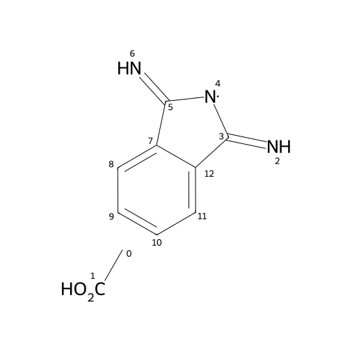 CC(=O)O.N=C1[N]C(=N)c2ccccc21